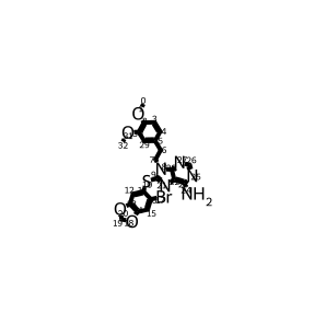 COc1ccc(CCn2c(Sc3cc4c(cc3Br)OCO4)nc3c(N)ncnc32)cc1OC